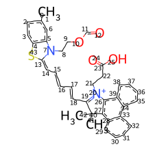 Cc1ccc2c(c1)N(CCOC=O)\C(=C/C=C/C=C/C1=[N+](CCC(=O)O)c3c(c4ccccc4c4ccccc34)C1(C)C)S2